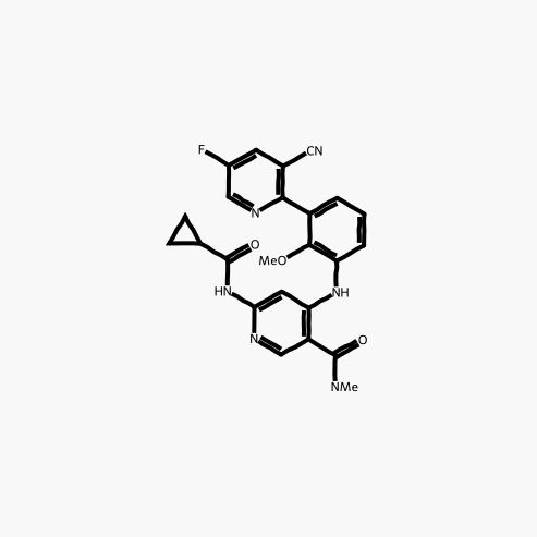 CNC(=O)c1cnc(NC(=O)C2CC2)cc1Nc1cccc(-c2ncc(F)cc2C#N)c1OC